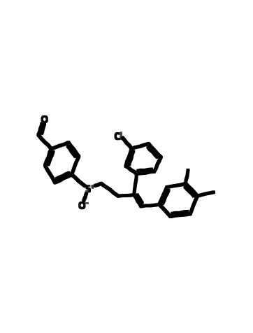 Cc1ccc(C=C(CC[S+]([O-])c2ccc(C=O)cc2)c2cccc(Cl)c2)cc1C